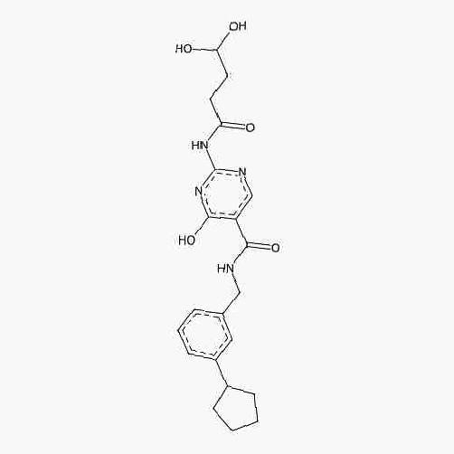 O=C(CCC(O)O)Nc1ncc(C(=O)NCc2cccc(C3CCCC3)c2)c(O)n1